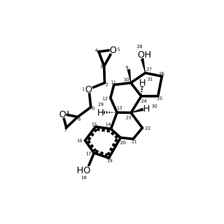 C(OCC1CO1)C1CO1.C[C@]12CC[C@@H]3c4ccc(O)cc4CC[C@H]3[C@@H]1CC[C@@H]2O